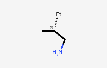 CC[C@@H](C)CN